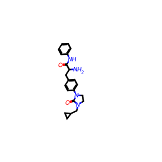 NC(Cc1ccc(N2CCN(CC3CC3)C2=O)cc1)C(=O)Nc1ccccc1